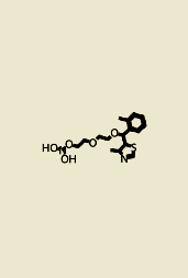 Cc1ccccc1C(OCCOCCON(O)O)C1SC=NC1C